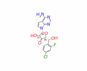 Nc1ncnc2c1ccn2[C@@H]1O[C@H](C(O)c2ccc(Cl)cc2F)C(=O)[C@H]1O